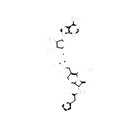 Nc1ncnc2c1ncn2[C@@H]1O[C@H](COS(=O)(=O)NCC2=C(C(=O)O)N3C(=O)[C@@H](NC(=O)Cc4cccs4)[C@H]3SC2)[C@@H](O)[C@H]1O